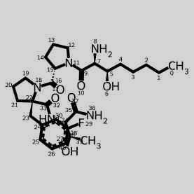 CCCCC[C@@H](O)[C@H](N)C(=O)N1CCC[C@H]1C(=O)N1CCC[C@@]1(Cc1cccc(F)c1)C(=O)N[C@H](C(N)=O)[C@@H](C)O